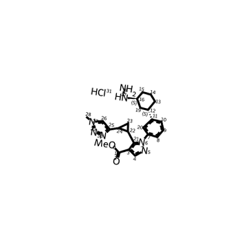 COC(=O)c1cnn(-c2cccc([C@H]3CCC[C@H](NN)C3)c2)c1C1CC1c1cn(C)nn1.Cl